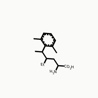 CCC(CC(N)C(=O)O)C(C)c1c(C)cccc1C